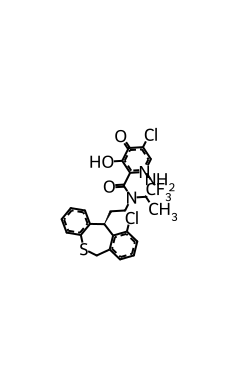 C[C@@H](N(CC[C@@H]1c2ccccc2SCc2cccc(Cl)c21)C(=O)c1c(O)c(=O)c(Cl)cn1N)C(F)(F)F